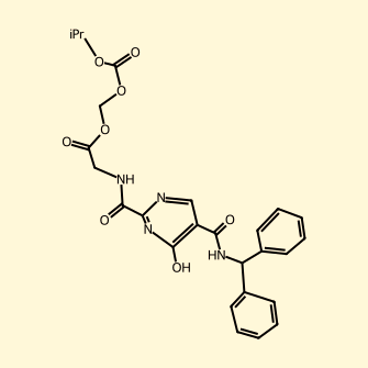 CC(C)OC(=O)OCOC(=O)CNC(=O)c1ncc(C(=O)NC(c2ccccc2)c2ccccc2)c(O)n1